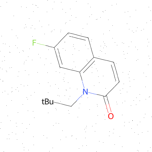 CC(C)(C)Cn1c(=O)ccc2ccc(F)cc21